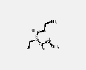 CC[SiH](CCCN)[SiH2][SiH2][SiH3].N